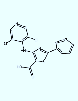 O=C(O)c1sc(-c2cccnc2)nc1Nc1c(Cl)cncc1Cl